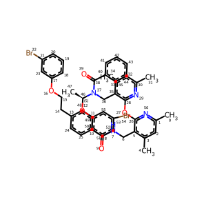 Cc1cc(C)c(CNC(=O)c2ccc(CCOc3cccc(Br)c3)cc2)c(Oc2nc(C)cc(C)c2CN(C(=O)c2ccccc2)[C@H](C)Oc2cccc(Br)c2)n1